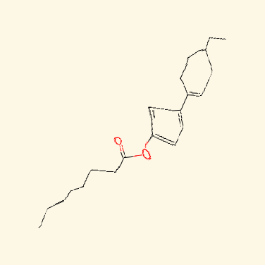 CCCCCCCC(=O)Oc1ccc(C2=CCC(CC)CC2)cc1